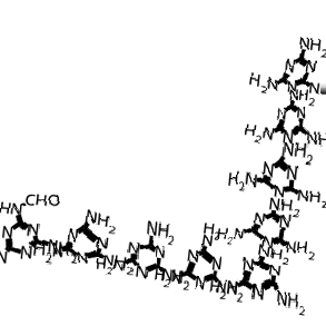 Nc1nc(N)nc(N)n1.Nc1nc(N)nc(N)n1.Nc1nc(N)nc(N)n1.Nc1nc(N)nc(N)n1.Nc1nc(N)nc(N)n1.Nc1nc(N)nc(N)n1.Nc1nc(N)nc(N)n1.Nc1nc(N)nc(N)n1.Nc1nc(N)nc(NC=O)n1